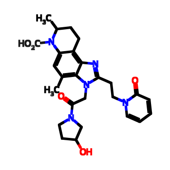 Cc1cc2c(c3nc(CCn4ccccc4=O)n(CC(=O)N4CCC(O)C4)c13)CCC(C)N2C(=O)O